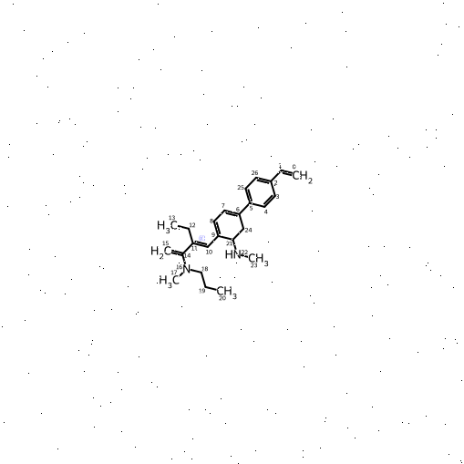 C=Cc1ccc(C2=CC=C(/C=C(\CC)C(=C)N(C)CCC)C(NC)C2)cc1